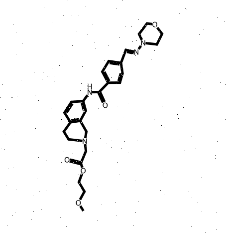 COCCOC(=O)CN1CCc2ccc(NC(=O)c3ccc(/C=N/N4CCOCC4)cc3)cc2C1